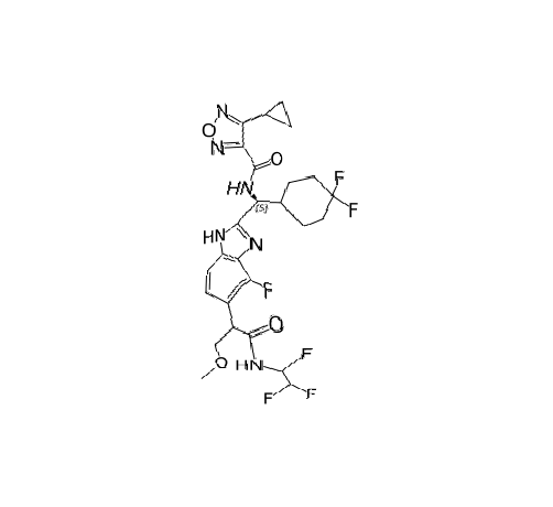 COCC(C(=O)NC(F)C(F)F)c1ccc2[nH]c([C@@H](NC(=O)c3nonc3C3CC3)C3CCC(F)(F)CC3)nc2c1F